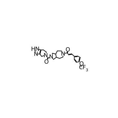 O=C(/C=C/c1ccc(OC(F)(F)F)cc1)N1CCC2CN(C(=O)N3CCc4[nH]cnc4C3)CC2CC1